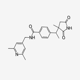 Cc1cc(CNC(=O)c2ccc(C(C)C3(C)CC(=O)NC3=O)cc2)cc(C)n1